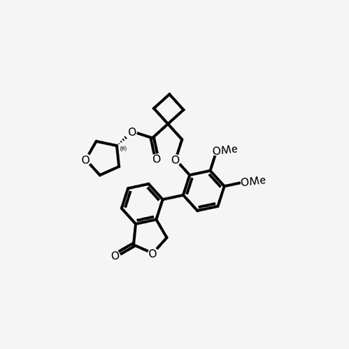 COc1ccc(-c2cccc3c2COC3=O)c(OCC2(C(=O)O[C@@H]3CCOC3)CCC2)c1OC